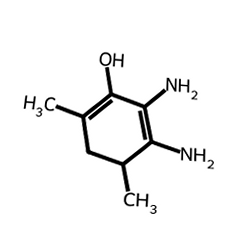 CC1=C(O)C(N)=C(N)C(C)C1